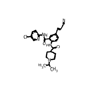 CC(C)N1CCC(C(=O)Nc2ccc(C=CC#N)cc2C(=O)Nc2ccc(Cl)cn2)CC1